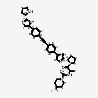 CC(NC(=O)N1CCC(O)CC1)C(=O)N1CCC[C@H]1c1ncc(-c2ccc(C#Cc3ccc(-c4cnc([C@@H]5CCCN5)[nH]4)cc3)cc2)[nH]1